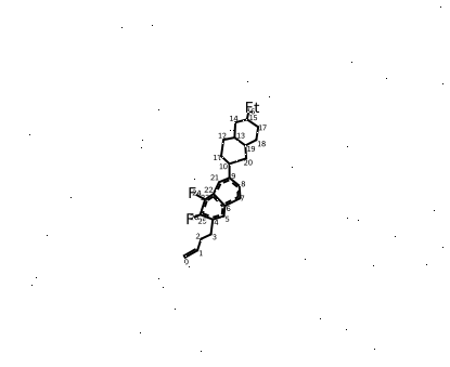 C=CCCc1cc2ccc(C3CCC4CC(CC)CCC4C3)cc2c(F)c1F